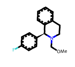 COCN1CCc2ccccc2[C@@H]1c1ccc(F)cc1